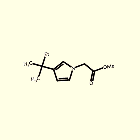 CCC(C)(C)c1ccn(CC(=O)OC)c1